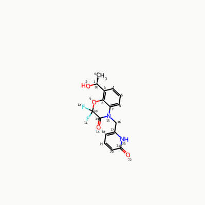 C[C@H](O)c1cccc2c1OC(F)(F)C(=O)N2Cc1cccc(=O)[nH]1